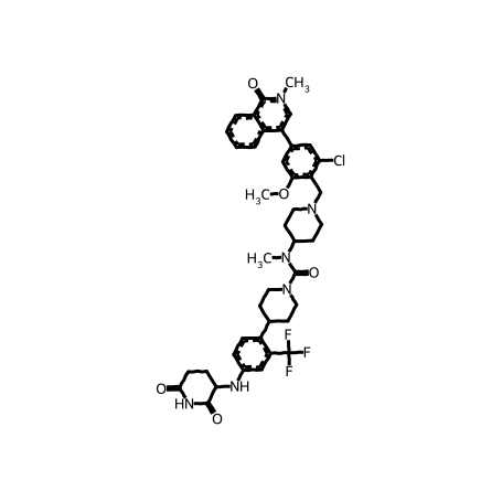 COc1cc(-c2cn(C)c(=O)c3ccccc23)cc(Cl)c1CN1CCC(N(C)C(=O)N2CCC(c3ccc(NC4CCC(=O)NC4=O)cc3C(F)(F)F)CC2)CC1